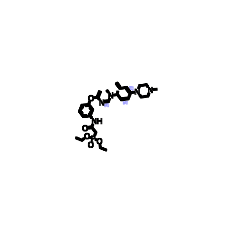 C=C/C=C(\C=C/C(C)N(C)/C=N\C(=C)Oc1cccc(NC(=O)CP(=O)(OCC)OCC)c1)N1CCN(C)CC1